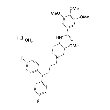 COc1cc(C(=O)NC2CCN(CCCC(c3ccc(F)cc3)c3ccc(F)cc3)CC2OC)cc(OC)c1OC.Cl.O